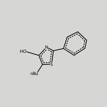 CCCCc1sc(-c2ccccc2)nc1O